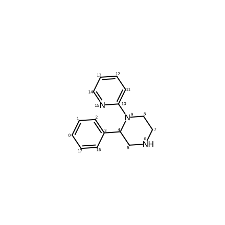 c1ccc(C2CNCCN2c2ccccn2)cc1